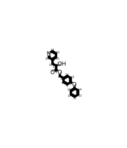 O=C(OCc1ccc(Oc2ccccc2)cc1)C(O)Cc1cccnc1